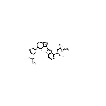 C=N/C(C)=C\N(C)c1nccc2[nH]c(-c3n[nH]c4ccc(-c5cncc(CN(C)C)c5)c(F)c34)nc12